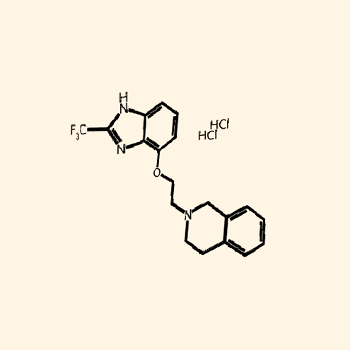 Cl.Cl.FC(F)(F)c1nc2c(OCCN3CCc4ccccc4C3)cccc2[nH]1